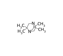 CC1(C)CN2CCN1CC2(C)C